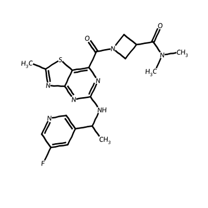 Cc1nc2nc(NC(C)c3cncc(F)c3)nc(C(=O)N3CC(C(=O)N(C)C)C3)c2s1